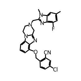 Cc1cc(F)c2nc(CN3CCn4c(nc5c(OCc6ccc(Cl)cc6C#N)cccc54)C3)n(C)c2c1